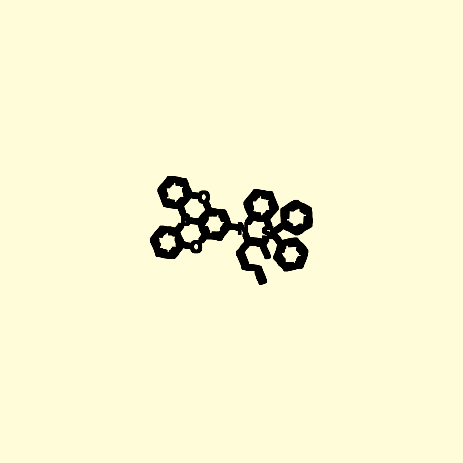 C=C/C=C\C1=C(C)[Si](c2ccccc2)(c2ccccc2)c2ccccc2N1c1cc2c3c(c1)Oc1ccccc1B3c1ccccc1O2